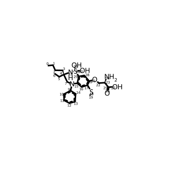 CCCC[C@]1(CC)CN(c2ccccc2)c2cc(SC)c(OC[C@@H](N)C(=O)O)cc2S(O)(O)N1